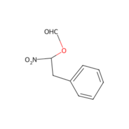 O=COC(Cc1ccccc1)[N+](=O)[O-]